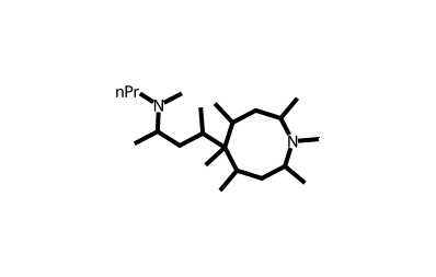 CCCN(C)C(C)CC(C)C1(C)C(C)CC(C)N(C)C(C)CC1C